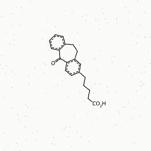 O=C(O)CCCCc1ccc2c(c1)CCc1ccccc1C2=O